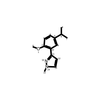 COc1ccc(C(C)C)cc1-c1ccn(C)n1